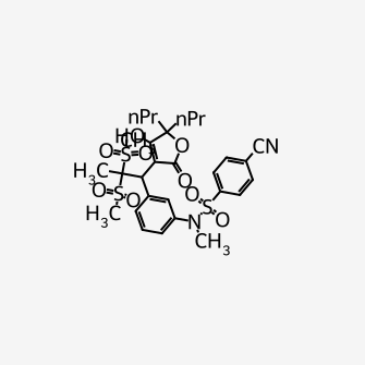 CCCC1(CCC)OC(=O)C(C(c2cccc(N(C)S(=O)(=O)c3ccc(C#N)cc3)c2)C(C)(S(C)(=O)=O)S(C)(=O)=O)=C1O